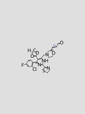 COC(=O)C1=C(CN2CCO[C@H](/C=C/C=O)C2)NC(C2=NCCS2)=N[C@H]1c1ccc(F)cc1Cl